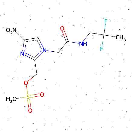 CC(F)(F)CNC(=O)Cn1cc([N+](=O)[O-])nc1COS(C)(=O)=O